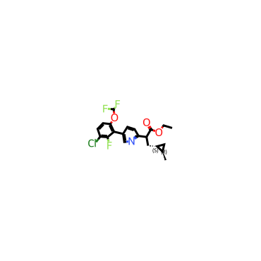 CCOC(=O)C(C[C@@H]1C[C@H]1C)c1ccc(-c2c(OC(F)F)ccc(Cl)c2F)cn1